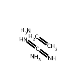 C=C.N.N.N=C=N